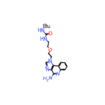 CC(C)(C)NC(=O)NCCOCCn1cnc2c(N)nc3ccccc3c21